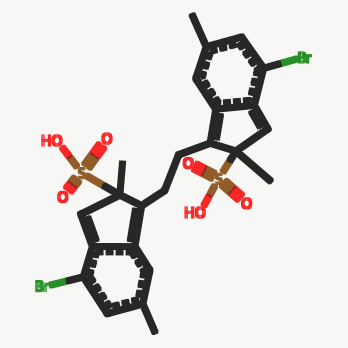 Cc1cc(Br)c2c(c1)=C(CCC1=c3cc(C)cc(Br)c3=CC1(C)S(=O)(=O)O)C(C)(S(=O)(=O)O)C=2